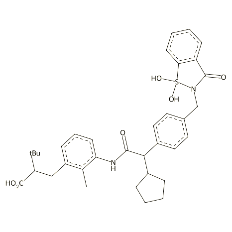 Cc1c(CC(C(=O)O)C(C)(C)C)cccc1NC(=O)C(c1ccc(CN2C(=O)c3ccccc3S2(O)O)cc1)C1CCCC1